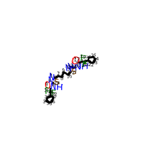 O=C(Nc1nnc(CCCCc2nnc(NC(=O)C(F)(F)c3ccccc3)s2)s1)C(F)(F)c1ccccc1